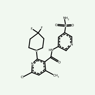 Cc1cc(Cl)nc(N2CCC(F)(F)CC2)c1C(=O)Nc1cncc(S(N)(=O)=O)c1